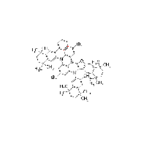 Cc1cc2c(cc1N1c3cc(C(C)(C)C)cc4c3B(c3cc(C(C)(C)C)ccc3N4c3cc4c(cc3-c3ccccc3)C(C)(C)CCC4(C)C)c3oc4cc5c(cc4c31)C(C)(C)CCC5(C)C)C(C)(C)CCC2(C)C